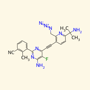 Cc1c(C#N)cccc1-c1nc(N)c(F)c(C#Cc2ccc(C(C)(C)N)nc2CN=[N+]=[N-])n1